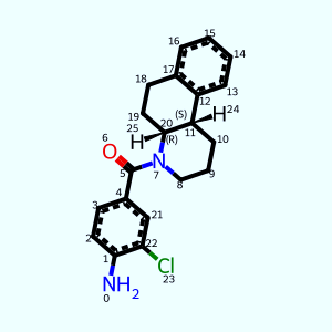 Nc1ccc(C(=O)N2CCC[C@H]3c4ccccc4CC[C@H]32)cc1Cl